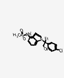 CCC(CO)(c1ccc(Cl)cc1)n1ccc2c(NS(C)(=O)=O)cccc21